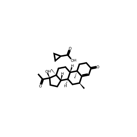 CC(=O)[C@@]1(O)CC[C@H]2[C@@H]3C[C@H](C)C4=CC(=O)CC[C@]4(C)[C@H]3CC[C@@]21C.O=C(O)C1CC1